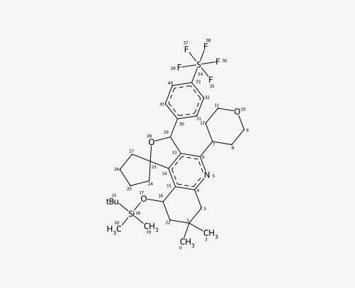 CC1(C)Cc2nc(C3CCOCC3)c3c(c2C(O[Si](C)(C)C(C)(C)C)C1)C1(CCCC1)OC3c1ccc(S(F)(F)(F)(F)F)cc1